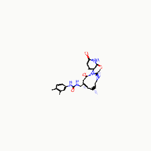 C/C1=N/C/C=C\C=C(\CNC(=O)Nc2ccc(C)c(C)c2)CC(=O)N1C1CCC(=O)NC1=O